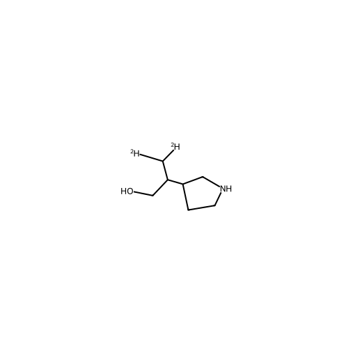 [2H]C([2H])C(CO)C1CCNC1